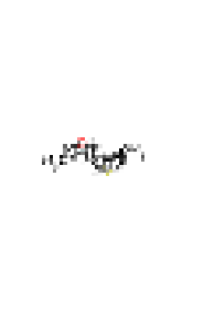 Cc1ccc2oc3ccc(-c4ccc5sc6ccc(C)cc6c5c4)cc3c2c1